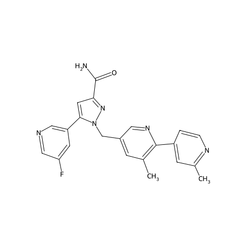 Cc1cc(-c2ncc(Cn3nc(C(N)=O)cc3-c3cncc(F)c3)cc2C)ccn1